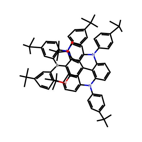 CC(C)(C)c1ccc(N(c2ccc(C(C)(C)C)cc2)c2cccc(N(c3ccc(C(C)(C)C)cc3)c3ccc(C(C)(C)C)cc3)c2-c2cc3c4c(c2)N(c2ccc(C(C)(C)C)cc2)c2ccc(C(C)(C)C)cc2B4c2cc(C(C)(C)C)ccc2O3)cc1